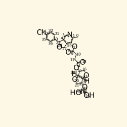 Cc1ncc2c(c1OC(=O)CCC(=O)O[C@@H]1CO[C@H]3[C@@H]1OC[C@H]3ON(O)O)CO[C@H]2c1ccc(Cl)cc1